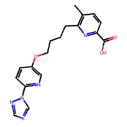 Cc1ccc(C(=O)O)nc1CCCCOc1ccc(-n2cncn2)nc1